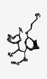 Cc1nnc(C(C)C(NC(=O)O)c2cccc(OCCCC(F)(F)F)c2)o1